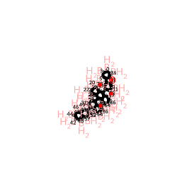 Bc1c(B)c(B)c2c(oc3c(B)c(B)c(-c4c5c(B)c(B)c(B)c(B)c5c(-c5c(B)c(B)c(-c6c(B)c(B)c7c(B)c(B)c(B)c(B)c7c6B)c6c(B)c(B)c(B)c(B)c56)c5c(B)c(B)c(B)c(B)c45)c(B)c32)c1B